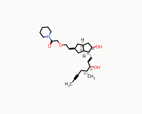 CC#CC[C@@H](C)[C@H](O)C=C[C@@H]1[C@H]2CC(=CCOCC(=O)N3CCCCC3)C[C@H]2C[C@H]1O